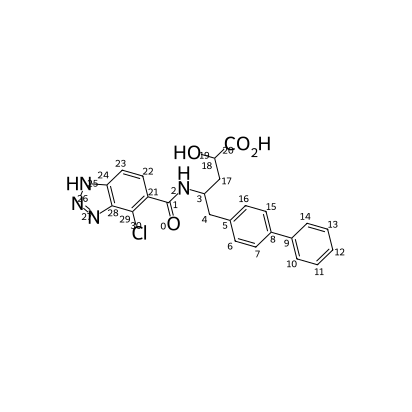 O=C(NC(Cc1ccc(-c2ccccc2)cc1)CC(O)C(=O)O)c1ccc2[nH]nnc2c1Cl